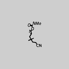 CNC(=O)ON=CCC(C)(C)CCC#N